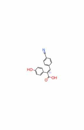 N#Cc1ccc(/C=C(/C(=O)O)c2ccc(O)cc2)cc1